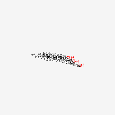 CCCCCCCCCCCCCCCCCCCCCCCCCCCCCO.CCCCCCCCCCCCCCCCCCCCCO.CCCCCCCCCCCCCCCO